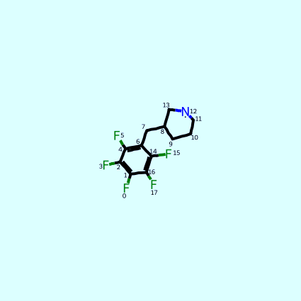 Fc1c(F)c(F)c(CC2CCC[N]C2)c(F)c1F